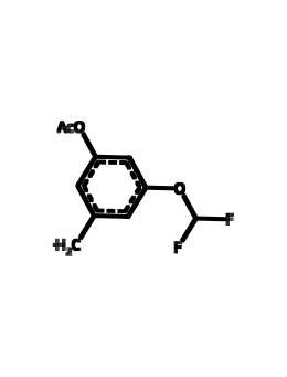 [CH2]c1cc(OC(C)=O)cc(OC(F)F)c1